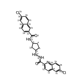 O=C(NC1CCC(NNC(=O)c2ccc3cc(Cl)ccc3n2)C1)c1ccc2cc(Cl)ccc2c1